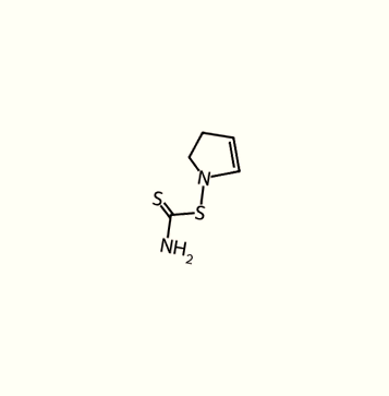 NC(=S)SN1C=CCC1